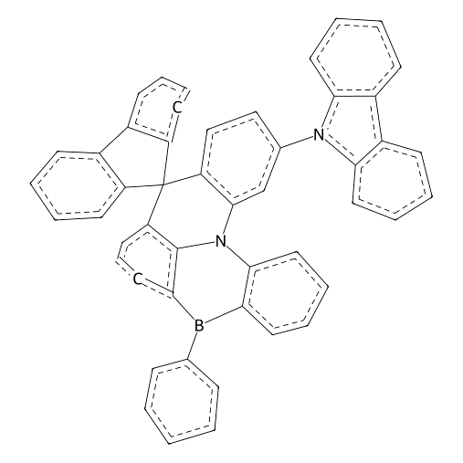 c1ccc(B2c3ccccc3N3c4cc(-n5c6ccccc6c6ccccc65)ccc4C4(c5ccccc5-c5ccccc54)c4cccc2c43)cc1